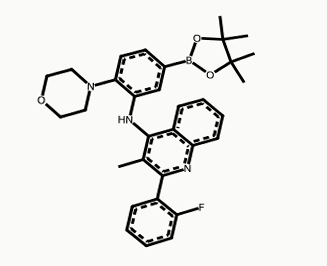 Cc1c(-c2ccccc2F)nc2ccccc2c1Nc1cc(B2OC(C)(C)C(C)(C)O2)ccc1N1CCOCC1